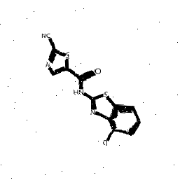 N#Cc1ncc(C(=O)Nc2nc3c(Cl)cccc3s2)s1